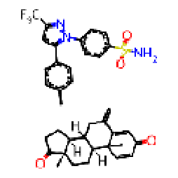 C=C1C[C@@H]2[C@H](CC[C@]3(C)C(=O)CC[C@@H]23)[C@@]2(C)C=CC(=O)C=C12.Cc1ccc(-c2cc(C(F)(F)F)nn2-c2ccc(S(N)(=O)=O)cc2)cc1